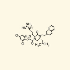 CC(C)C[C@@H]1CN(C(=O)[C@H](N)Cc2ccc(Cl)cc2Cl)[C@@H](CCCNC(=N)N)C(=O)N1CCc1ccc2ccccc2c1